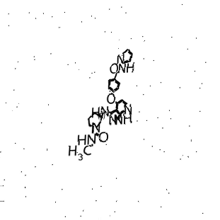 CCNC(=O)N1CCC[C@@H](Nc2n[nH]c3nccc(Oc4ccc(C(=O)Nc5ccccn5)cc4)c23)C1